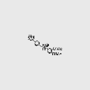 COc1ccc(S(=O)(=O)NCc2ccc(-c3csnn3)cc2)cc1OC